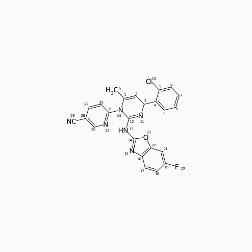 CC1=CC(c2ccccc2Cl)N=C(Nc2nc3ccc(F)cc3o2)N1c1ccc(C#N)cn1